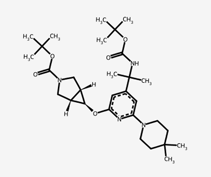 CC1(C)CCN(c2cc(C(C)(C)NC(=O)OC(C)(C)C)cc(O[C@H]3[C@@H]4CN(C(=O)OC(C)(C)C)C[C@@H]43)n2)CC1